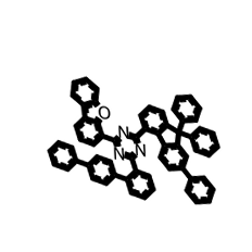 c1ccc(-c2ccc(-c3ccccc3-c3nc(-c4cccc5c4-c4ccc(-c6ccccc6)cc4C5(c4ccccc4)c4ccccc4)nc(-c4cccc5c4oc4ccccc45)n3)cc2)cc1